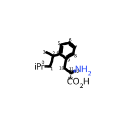 CC(C)CC(C)c1ccccc1C[C@H](N)C(=O)O